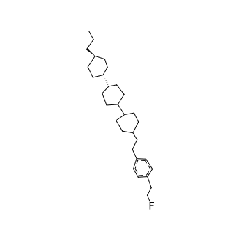 CCC[C@H]1CC[C@H](C2CCC(C3CCC(CCc4ccc(CCF)cc4)CC3)CC2)CC1